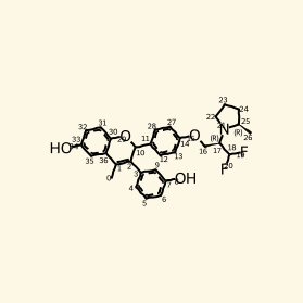 CC1=C(c2cccc(O)c2)C(c2ccc(OC[C@H](C(F)F)N3CCC[C@H]3C)cc2)Oc2ccc(O)cc21